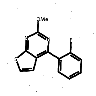 COc1nc(-c2ccccc2F)c2ccsc2n1